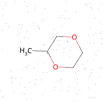 C[C]1COCCO1